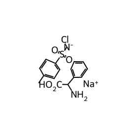 Cc1ccc(S(=O)(=O)[N-]Cl)cc1.NC(C(=O)O)c1ccccc1.[Na+]